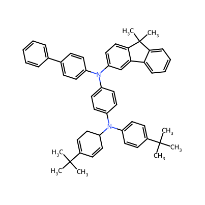 CC(C)(C)C1=CCC(N(c2ccc(N(c3ccc(-c4ccccc4)cc3)c3ccc4c(c3)-c3ccccc3C4(C)C)cc2)c2ccc(C(C)(C)C)cc2)C=C1